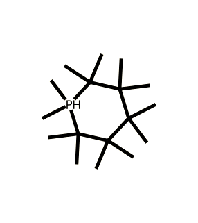 CC1(C)C(C)(C)C(C)(C)[PH](C)(C)C(C)(C)C1(C)C